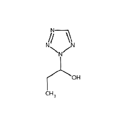 CCC(O)n1ncnn1